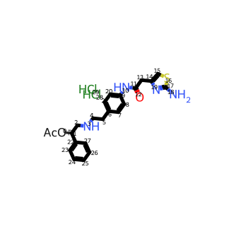 CC(=O)O[C@@H](CNCCc1ccc(NC(=O)Cc2csc(N)n2)cc1)c1ccccc1.Cl.Cl